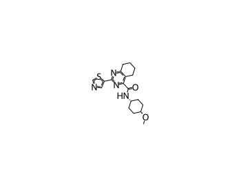 CO[C@H]1CC[C@H](NC(=O)c2nc(-c3cncs3)nc3c2CCCC3)CC1